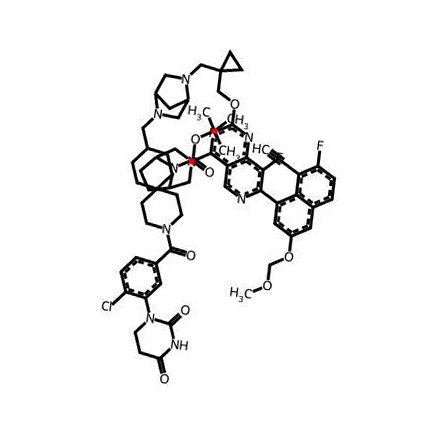 C#Cc1c(F)ccc2cc(OCOC)cc(-c3ncc4c(N5CC6CCC(C5)N6C(=O)OC(C)(C)C)nc(OCC5(CN6CC7CC6CN7CC6CCC7(CC6)CCN(C(=O)c6ccc(Cl)c(N8CCC(=O)NC8=O)c6)CC7)CC5)nc4c3F)c12